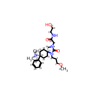 COCCCN1C(=O)N(CC(=O)NCCO)C[C@]12CC[C@@](c1ccccc1)(N(C)C)CC2